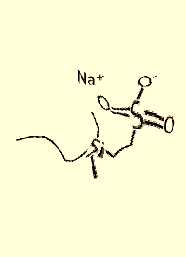 CCC[Si](C)(C)CS(=O)(=O)[O-].[Na+]